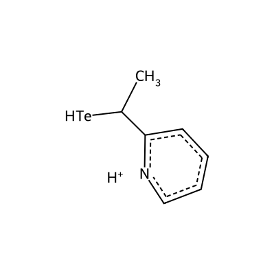 CC([TeH])c1ccccn1.[H+]